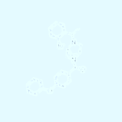 CC(c1ccccc1Br)N1CC2CC1CN2C(=O)c1ccc(Oc2ccccc2)cc1